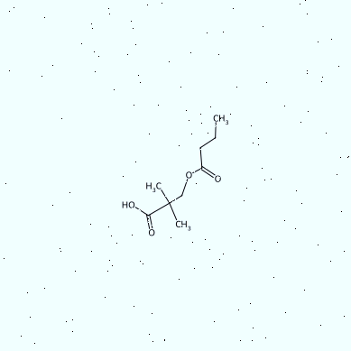 CCCC(=O)OCC(C)(C)C(=O)O